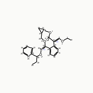 CCO/C=C(/C(=O)OC)c1ccccc1/C(=N\OC(CC)c1ccccn1)OCC1CC1